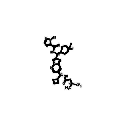 CCn1nccc1C(=O)N[C@H](c1cn2ncc([C@H](NC(=O)C[C@H](C)C(F)(F)F)C3CCC3)cc2n1)C1CCC(F)(F)CC1